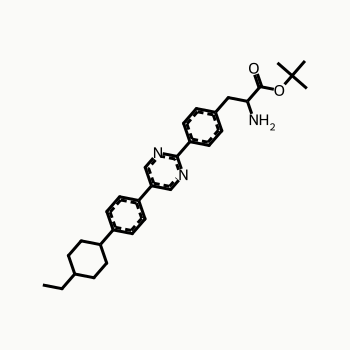 CCC1CCC(c2ccc(-c3cnc(-c4ccc(CC(N)C(=O)OC(C)(C)C)cc4)nc3)cc2)CC1